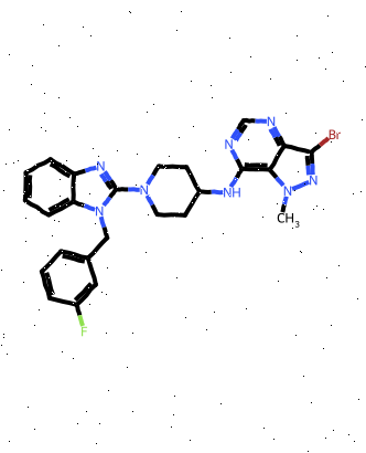 Cn1nc(Br)c2ncnc(NC3CCN(c4nc5ccccc5n4Cc4cccc(F)c4)CC3)c21